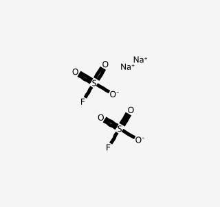 O=S(=O)([O-])F.O=S(=O)([O-])F.[Na+].[Na+]